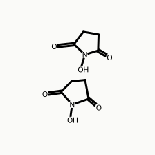 O=C1CCC(=O)N1O.O=C1CCC(=O)N1O